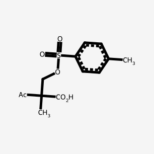 CC(=O)C(C)(COS(=O)(=O)c1ccc(C)cc1)C(=O)O